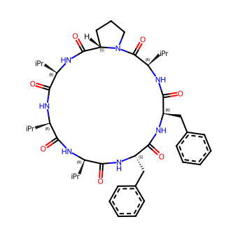 CC(C)[C@H]1NC(=O)[C@@H](C(C)C)NC(=O)[C@@H](C(C)C)NC(=O)[C@@H]2CCCN2C(=O)[C@@H](C(C)C)NC(=O)[C@@H](Cc2ccccc2)NC(=O)[C@H](Cc2ccccc2)NC1=O